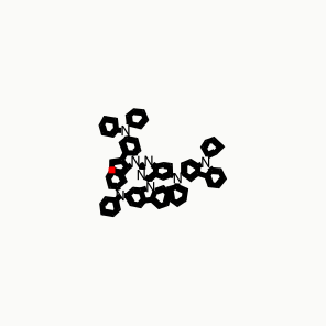 c1ccc(N(c2ccc3nc(-n4c5ccccc5c5cc(N(c6ccccc6)c6ccccc6)ccc54)nc(-n4c5ccccc5c5ccc(N(c6ccccc6)c6ccccc6)cc54)c3c2)c2ccc3c(c2)c2ccccc2n3-c2ccccc2)cc1